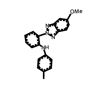 COc1ccc2nn(-c3ccccc3Nc3ccc(C)cc3)nc2c1